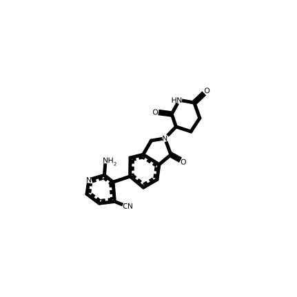 N#Cc1ccnc(N)c1-c1ccc2c(c1)CN(C1CCC(=O)NC1=O)C2=O